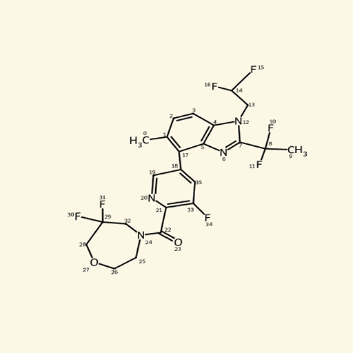 Cc1ccc2c(nc(C(C)(F)F)n2CC(F)F)c1-c1cnc(C(=O)N2CCOCC(F)(F)C2)c(F)c1